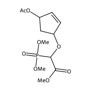 COC(=O)C(OC1C=CC(OC(C)=O)C1)P(=O)(OC)OC